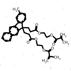 C=C(C)C(=O)OCCOC(=O)CCC1(CCC(=O)OCCOC(=O)C(=C)C)c2ccc(C)cc2-c2cc3ccccc3cc21